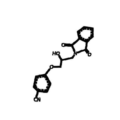 N#Cc1ccc(OCC(O)CN2C(=O)c3ccccc3C2=O)cc1